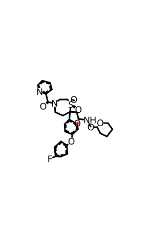 O=C(CC1(c2ccc(Oc3ccc(F)cc3)cc2)CCN(C(=O)c2ccccn2)CCS1(=O)=O)NOC1CCCCO1